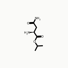 CC(C)OC(=O)[C@@H](N)CC(N)=O